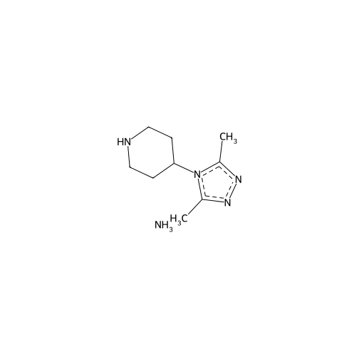 Cc1nnc(C)n1C1CCNCC1.N